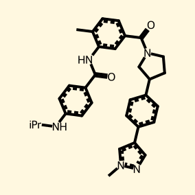 Cc1ccc(C(=O)N2CCC(c3ccc(-c4cnn(C)c4)cc3)C2)cc1NC(=O)c1ccc(NC(C)C)cc1